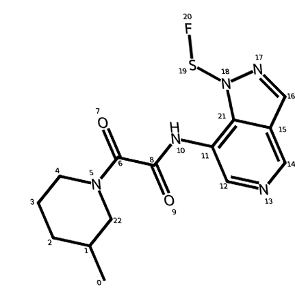 CC1CCCN(C(=O)C(=O)Nc2cncc3cnn(SF)c23)C1